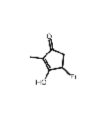 CCC1CC(=O)C(C)=C1O